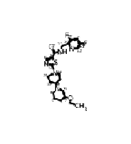 CCO[C@H]1CCCN(C2CCN(c3ncc(C(=O)NCc4ncc(F)cc4F)s3)CC2)C1